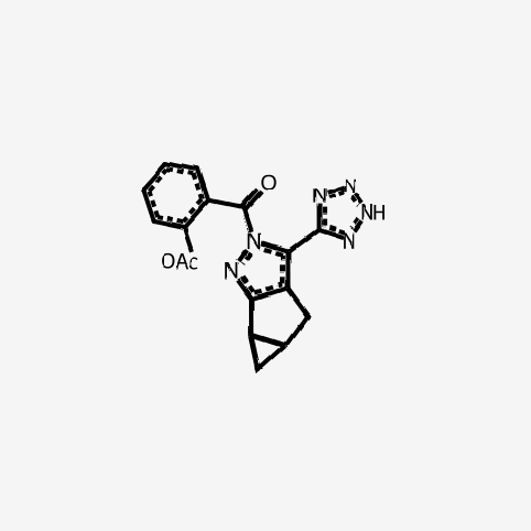 CC(=O)Oc1ccccc1C(=O)n1nc2c(c1-c1nn[nH]n1)CC1CC21